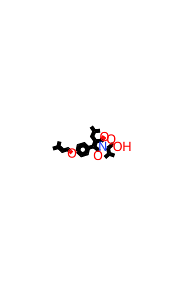 CC(C)=CCOc1ccc(C2=C(CC(C)C)C(=O)N(C(C(=O)O)C(C)C)C2=O)cc1